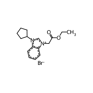 CCOC(=O)C[n+]1cn(C2CCCC2)c2ccccc21.[Br-]